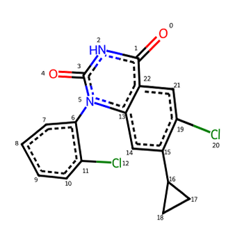 O=c1[nH]c(=O)n(-c2ccccc2Cl)c2cc(C3CC3)c(Cl)cc12